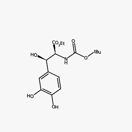 CCOC(=O)[C@@H](NC(=O)OC(C)(C)C)[C@H](O)c1ccc(O)c(O)c1